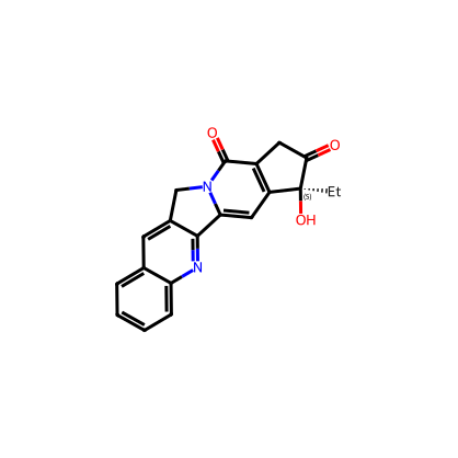 CC[C@@]1(O)C(=O)Cc2c1cc1n(c2=O)Cc2cc3ccccc3nc2-1